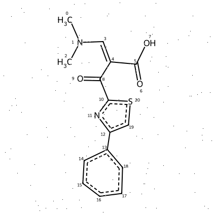 CN(C)/C=C(/C(=O)O)C(=O)c1nc(-c2ccccc2)cs1